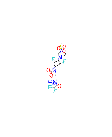 CS(=O)(=O)N1CCN(c2c(F)cc(N3C[C@H](CNC(=O)C(F)F)OC3=O)cc2F)CCO1